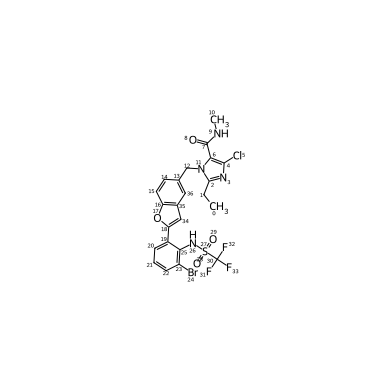 CCc1nc(Cl)c(C(=O)NC)n1Cc1ccc2oc(-c3cccc(Br)c3NS(=O)(=O)C(F)(F)F)cc2c1